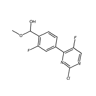 COC(O)c1ccc(-c2nc(Cl)ncc2F)cc1F